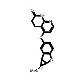 CN[C@@H]1C2Oc3ccc(Oc4ccnc5c4CCC(=O)N5)cc3C21